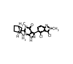 Cn1nc2ccc(-c3n[nH]c4nc(N5C6CC[C@@H]5[C@H](N)C6)n(C)c(=O)c34)c(Cl)c2c1Cl